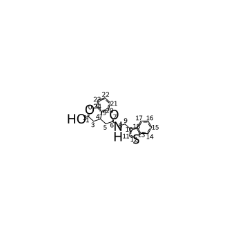 O=C(O)CC(CC(=O)NCc1csc2ccccc12)c1ccccc1